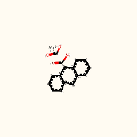 O=C[O-].O=C[O-].[Mg+2].c1ccc2cc3ccccc3cc2c1